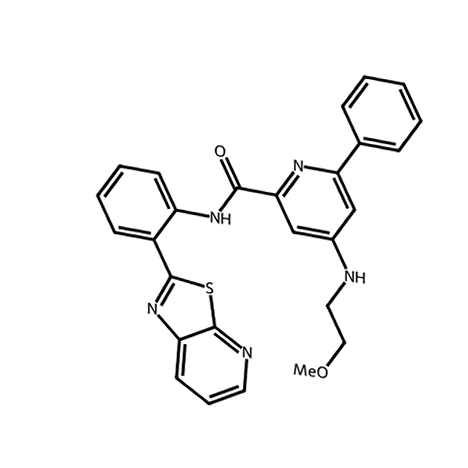 COCCNc1cc(C(=O)Nc2ccccc2-c2nc3cccnc3s2)nc(-c2ccccc2)c1